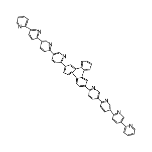 c1ccc(-c2ccc(-c3ccc(-c4ccc(-c5ccc6c7ccc(-c8ccc(-c9ccc(-c%10ccc(-c%11ccccn%11)cn%10)cn9)cn8)cc7c7ccccc7c6c5)nc4)nc3)nc2)nc1